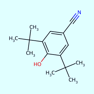 CC(C)(C)c1cc(C#N)cc(C(C)(C)C)c1O